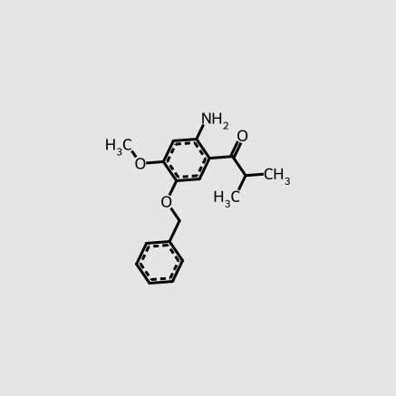 COc1cc(N)c(C(=O)C(C)C)cc1OCc1ccccc1